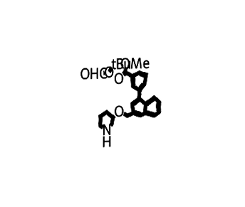 CC(C)(C)OC=O.COC(=O)c1cccc(-c2cc(COC3CCCNC3)cc3ccccc23)c1